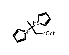 CCCCCCC[CH]CC(C)([SH]1C=CC=C1)[SH]1C=CC=C1